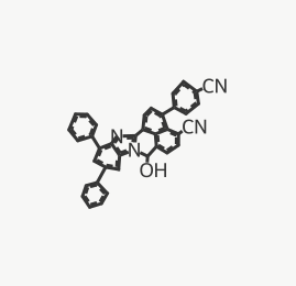 N#Cc1ccc(-c2ccc3c4c(ccc(C#N)c24)C(O)n2c-3nc3c(-c4ccccc4)cc(-c4ccccc4)cc32)cc1